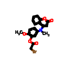 COc1ccc(N(C)c2cc(=O)oc3ccccc23)cc1OC(=O)CBr